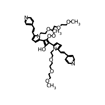 COCCOCCOCCn1c(/C=C/c2ccncc2)ccc1C1=C(O)C(c2ccc(/C=C/c3ccncc3)n2CCOCCOCCOC)=C1OOC